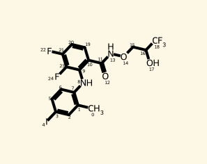 Cc1cc(I)ccc1Nc1c(C(=O)NOCC(O)C(F)(F)F)ccc(F)c1F